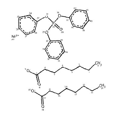 CCCCCCCC(=O)[O-].CCCCCCCC(=O)[O-].O=P(Oc1ccccc1)(Oc1ccccc1)Oc1ccccc1.[Ni+2]